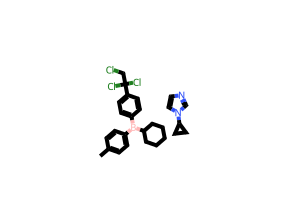 Cc1ccc(B(c2ccc(C(Cl)(Cl)CCl)cc2)C2CCCCC2)cc1.c1cn(C2CC2)cn1